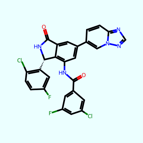 O=C(Nc1cc(-c2ccc3ncnn3c2)cc2c1[C@H](c1cc(F)ccc1Cl)NC2=O)c1cc(F)cc(Cl)c1